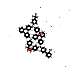 Nc1ccccc1-c1ccc(N(c2ccc(-c3ccccc3-c3ccc(N(c4ccc(-c5ccccc5-c5ccc(N(c6ccc(C(F)(F)F)cc6)c6ccc(C(F)(F)F)cc6)cc5)cc4)c4ccc(C(F)(F)F)cc4)cc3)cc2)c2ccc(C(F)(F)F)cc2)cc1